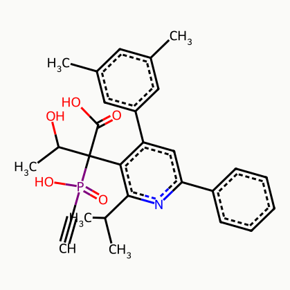 C#CP(=O)(O)C(C(=O)O)(c1c(-c2cc(C)cc(C)c2)cc(-c2ccccc2)nc1C(C)C)C(C)O